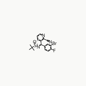 CC(C)(C)[S+]([O-])N=C(c1ccc(F)c(Br)c1)c1cccnc1C#N